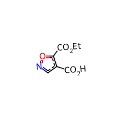 CCOC(=O)c1oncc1C(=O)O